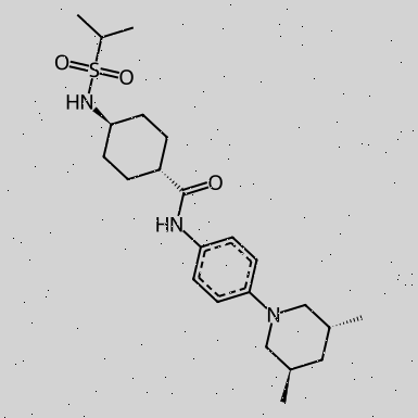 CC(C)S(=O)(=O)N[C@H]1CC[C@H](C(=O)Nc2ccc(N3C[C@H](C)C[C@@H](C)C3)cc2)CC1